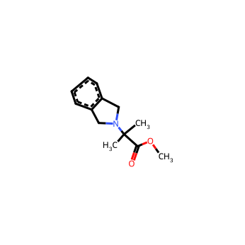 COC(=O)C(C)(C)N1Cc2ccccc2C1